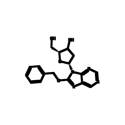 OC[C@H]1O[C@@H](n2c(OCc3ccccc3)nc3cncnc32)CC1O